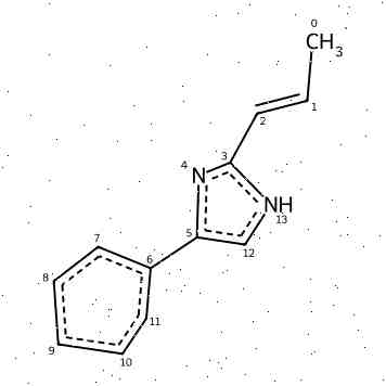 CC=Cc1nc(-c2ccccc2)c[nH]1